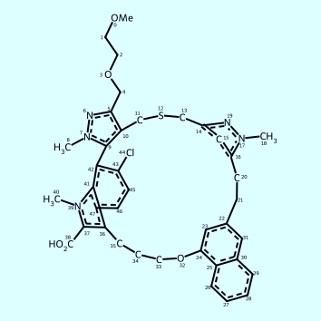 COCCOCc1nn(C)c2c1CSCc1cc(n(C)n1)CCc1cc(c3ccccc3c1)OCCCc1c(C(=O)O)n(C)c3c-2c(Cl)ccc13